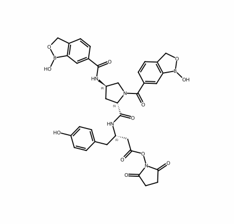 O=C(C[C@H](Cc1ccc(O)cc1)NC(=O)[C@@H]1C[C@@H](NC(=O)c2ccc3c(c2)B(O)OC3)CN1C(=O)c1ccc2c(c1)B(O)OC2)ON1C(=O)CCC1=O